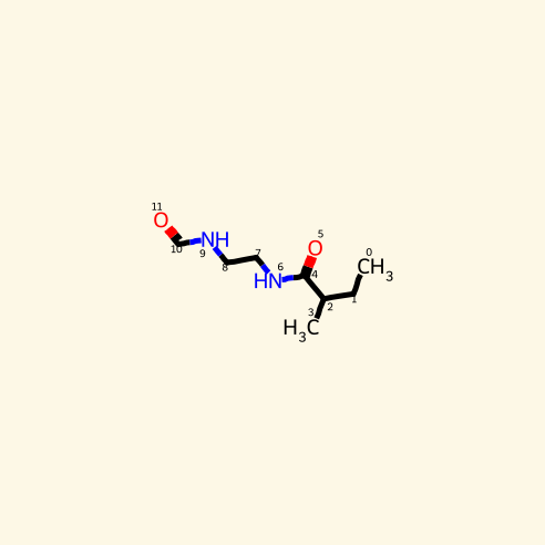 CCC(C)C(=O)NCCNC=O